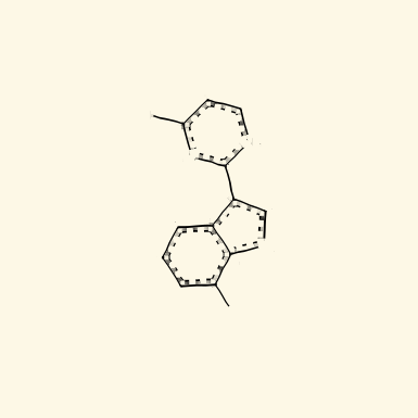 Fc1cccc2c(-c3nccc(Cl)n3)csc12